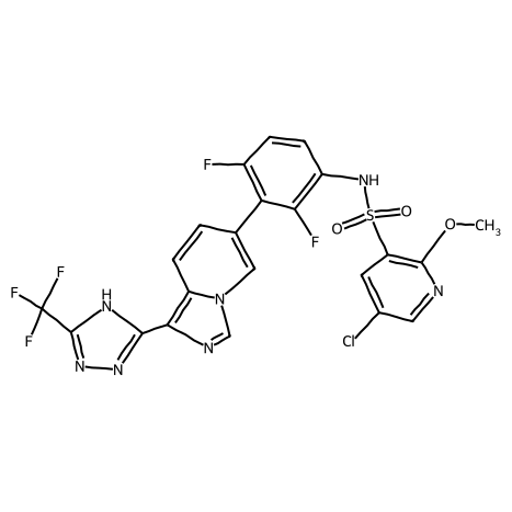 COc1ncc(Cl)cc1S(=O)(=O)Nc1ccc(F)c(-c2ccc3c(-c4nnc(C(F)(F)F)[nH]4)ncn3c2)c1F